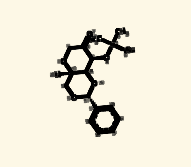 CC(C)(C)[Si](C)(C)O[C@@H]1C(=O)CO[C@@H]2CO[C@@H](c3ccccc3)OC12